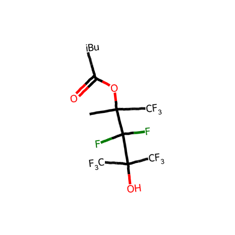 CCC(C)C(=O)OC(C)(C(F)(F)F)C(F)(F)C(O)(C(F)(F)F)C(F)(F)F